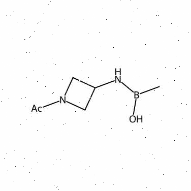 CB(O)NC1CN(C(C)=O)C1